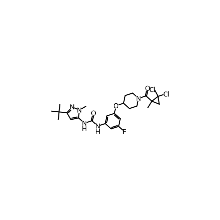 Cn1nc(C(C)(C)C)cc1NC(=O)Nc1cc(F)cc(OC2CCN(C(=O)C3(C)CC3(Cl)Cl)CC2)c1